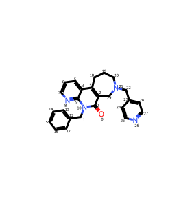 O=c1c2c(c3cccnc3n1Cc1ccccc1)CCCN(Cc1ccncc1)C2